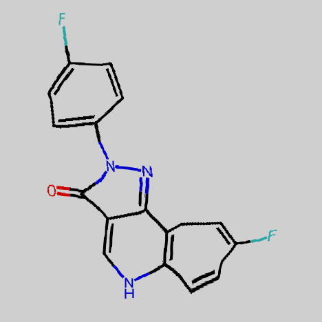 O=c1c2c[nH]c3ccc(F)cc3c-2nn1-c1ccc(F)cc1